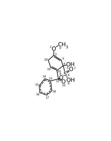 COC1=CC(O)(S(=O)(=O)O)C(C(=O)c2ccccc2)=CC1